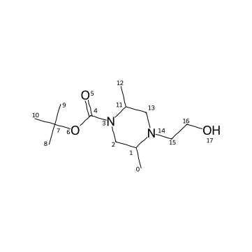 CC1CN(C(=O)OC(C)(C)C)C(C)CN1CCO